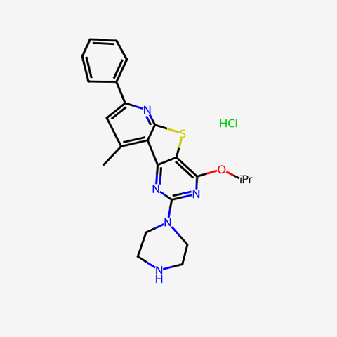 Cc1cc(-c2ccccc2)nc2sc3c(OC(C)C)nc(N4CCNCC4)nc3c12.Cl